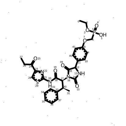 CCOP(=O)(O)COc1ccc(C2NC(=O)N([C@H](C(=O)Nc3nc(C(=O)CC)cs3)[C@@H](C)c3ccccc3)C2=O)cc1